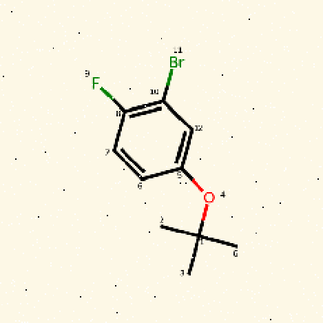 CC(C)(C)Oc1ccc(F)c(Br)c1